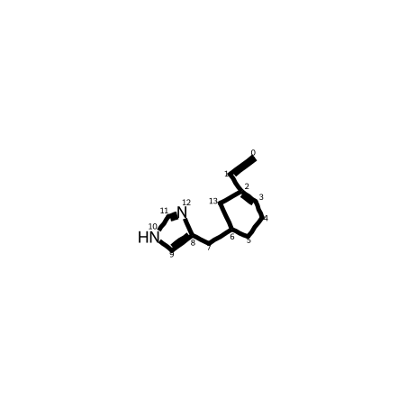 C=CC1=CCCC(Cc2c[nH]cn2)C1